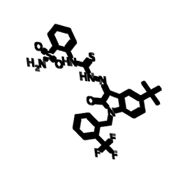 CC(C)(C)c1ccc2c(c1)C(=NNC(=S)Nc1ccccc1S(N)(=O)=O)C(=O)N2Cc1ccccc1C(F)(F)F